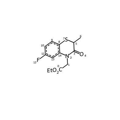 CCOC(=O)CN1C(=O)C(C)Sc2ccc(F)cc21